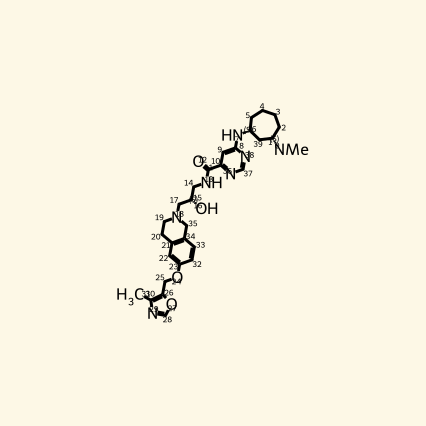 CN[C@H]1CCCC[C@H](Nc2cc(C(=O)NC[C@H](O)CN3CCc4cc(OCc5ocnc5C)ccc4C3)ncn2)C1